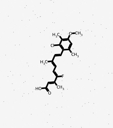 COc1cc(C)c(C=CC(C)=CC=C(F)C(C)=CC(=O)O)c(Cl)c1C